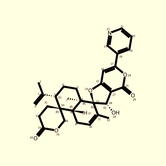 C=C(C)[C@@H]1CC[C@]2(C)[C@H](CC=C(C)[C@]23Oc2cc(-c4cccnc4)oc(=O)c2[C@@H]3O)[C@@]12CCC(=O)OC2